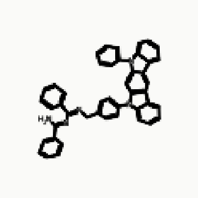 N/C(=N\C(=N/Cc1ccc(-n2c3ccccc3c3cc4c5ccccc5n(-c5ccccc5)c4cc32)cc1)c1ccccc1)c1ccccc1